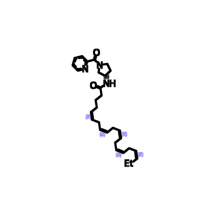 CC/C=C\C/C=C\C/C=C\C/C=C\C/C=C\CCCC(=O)N[C@H]1CCN(C(=O)c2ccccn2)C1